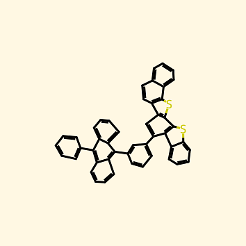 c1ccc(-c2c3ccccc3c(-c3cccc(-c4cc5c6ccc7ccccc7c6sc5c5sc6ccccc6c45)c3)c3ccccc23)cc1